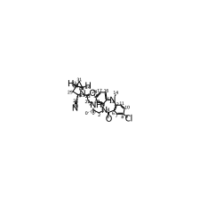 C[C@@H](CN1C(=O)c2cc(Cl)ccc2N(C)c2ccccc21)NCC(=O)N1C(C#N)C[C@@H]2C[C@@H]21